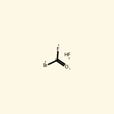 F.O=C(F)Br